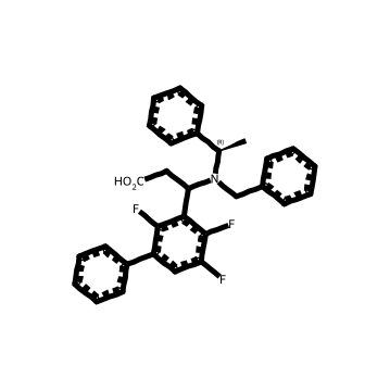 C[C@H](c1ccccc1)N(Cc1ccccc1)C(CC(=O)O)c1c(F)c(F)cc(-c2ccccc2)c1F